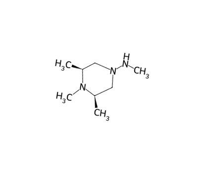 CNN1C[C@@H](C)N(C)[C@@H](C)C1